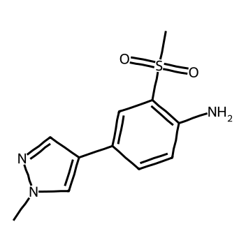 Cn1cc(-c2ccc(N)c(S(C)(=O)=O)c2)cn1